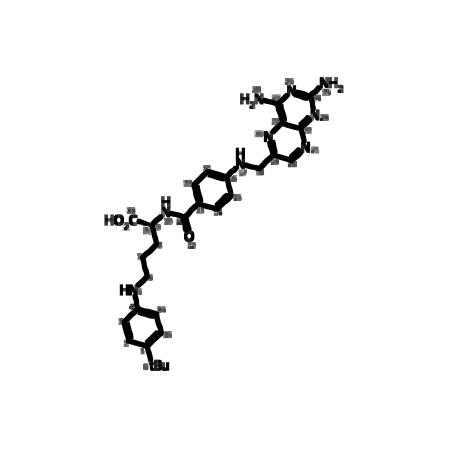 CC(C)(C)c1ccc(NCCC[C@H](NC(=O)c2ccc(NCc3cnc4nc(N)nc(N)c4n3)cc2)C(=O)O)cc1